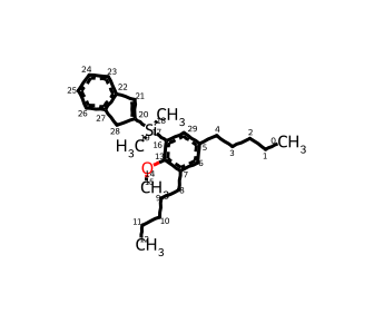 CCCCCc1cc(CCCCC)c(OC)c([Si](C)(C)C2=Cc3ccccc3C2)c1